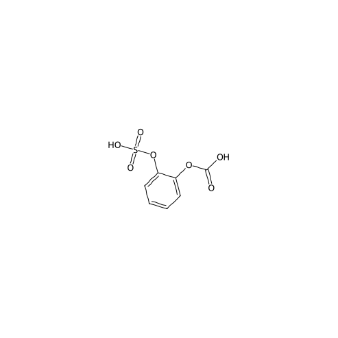 O=C(O)Oc1ccccc1OS(=O)(=O)O